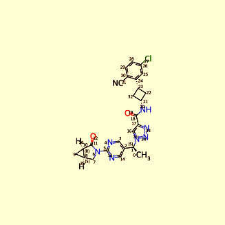 C[C@@H](c1cnc(N2C[C@H]3C[C@H]3C2=O)nc1)n1cc(C(=O)N[C@H]2C[C@@H](c3cc(Cl)ccc3C#N)C2)nn1